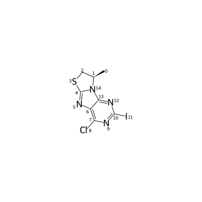 C[C@@H]1CSc2nc3c(Cl)nc(I)nc3n21